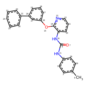 Cc1ccc(NC(=O)Nc2cccnc2Oc2cccc(-c3ccccc3)c2)cc1